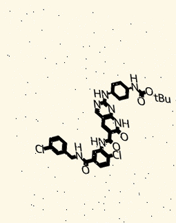 CC(C)(C)OC(=O)N[C@H]1CC[C@@H](Nc2ncc3cc(C(=O)Nc4cc(C(=O)NCc5cccc(Cl)c5)ccc4Cl)c(=O)[nH]c3n2)CC1